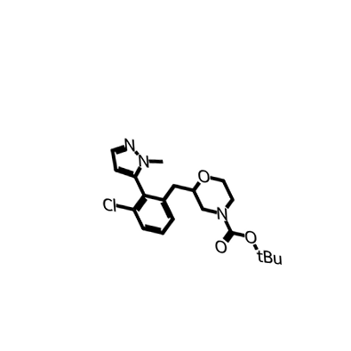 Cn1nccc1-c1c(Cl)cccc1CC1CN(C(=O)OC(C)(C)C)CCO1